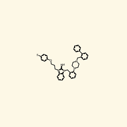 N=c1n(CCCOc2ccc(F)cc2)c2ccccc2n1Cc1ccccc1N1CCN(Cc2ccccc2-c2ccccc2)CC1